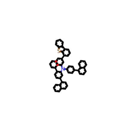 c1ccc(-c2ccc(-c3cccc4ccccc34)cc2N(c2ccc(-c3cccc4ccccc34)cc2)c2cccc(-c3cccc4c3sc3ccccc34)c2)cc1